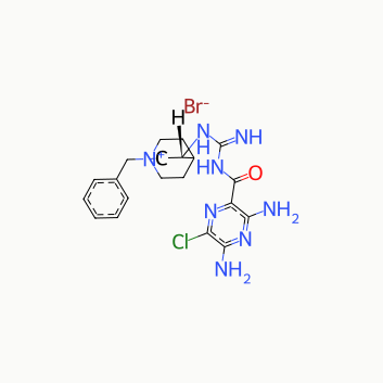 N=C(NC(=O)c1nc(Cl)c(N)nc1N)N[C@H]1C[N+]2(Cc3ccccc3)CCC1CC2.[Br-]